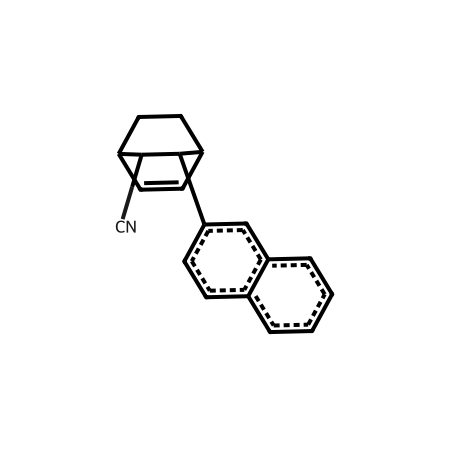 N#CC1C2C=CC(CC2)C1c1ccc2ccccc2c1